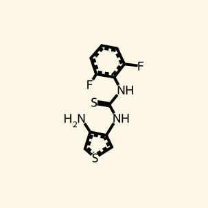 Nc1cscc1NC(=S)Nc1c(F)cccc1F